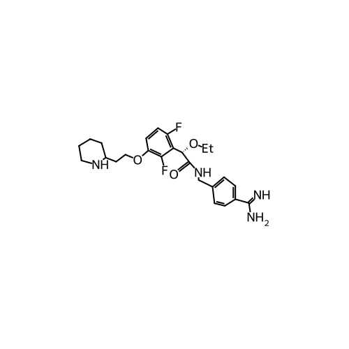 CCO[C@H](C(=O)NCc1ccc(C(=N)N)cc1)c1c(F)ccc(OCCC2CCCCN2)c1F